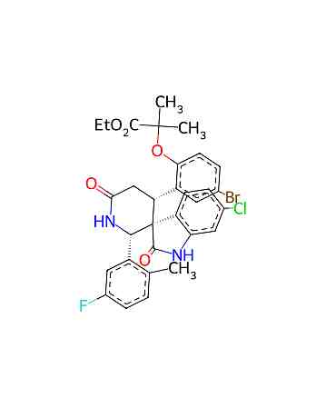 CCOC(=O)C(C)(C)Oc1ccc(Br)cc1[C@H]1CC(=O)N[C@@H](c2cc(F)ccc2C)[C@]12C(=O)Nc1cc(Cl)ccc12